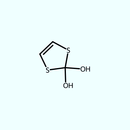 OC1(O)SC=CS1